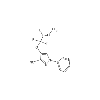 N#Cc1nn(-c2cccnc2)cc1OC(F)(F)C(F)OC(F)(F)F